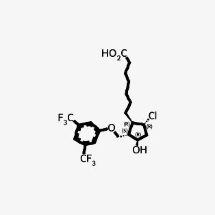 O=C(O)CCCCCC[C@@H]1[C@@H](COc2cc(C(F)(F)F)cc(C(F)(F)F)c2)[C@H](O)C[C@H]1Cl